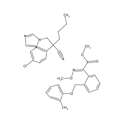 CCCCC(C#N)(Cn1cncn1)c1ccc(Cl)cc1.CO/N=C(/C(=O)OC)c1ccccc1COc1ccccc1C